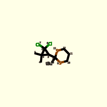 CC(C)(C)C1(C2C(C)(C)C2(Cl)Cl)SCCCS1